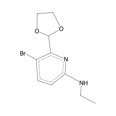 CCNc1ccc(Br)c(C2OCCO2)n1